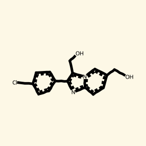 OCc1ccc2nc(-c3ccc(Cl)cc3)c(CO)n2c1